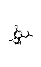 CC(C)Cc1nc(Cl)cc2c1ncn2C